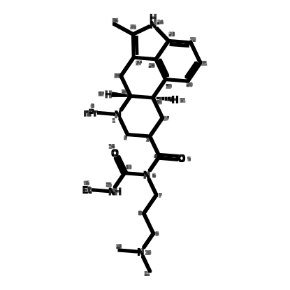 CCCN1CC(C(=O)N(CCCN(C)C)C(=O)NCC)C[C@@H]2c3cccc4[nH]c(C)c(c34)C[C@H]21